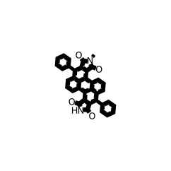 Cn1c(=O)c2c(-c3ccccc3)c3cccc4c3c(c3cccc5c(-c6ccccc6)c6c(=O)[nH]c(=O)c6c4c53)c2c1=O